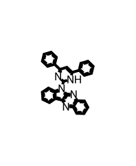 C1=C(c2ccccc2)NC(n2c3ccccc3c3nc4ccccc4nc32)N=C1c1ccccc1